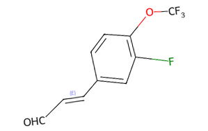 O=C/C=C/c1ccc(OC(F)(F)F)c(F)c1